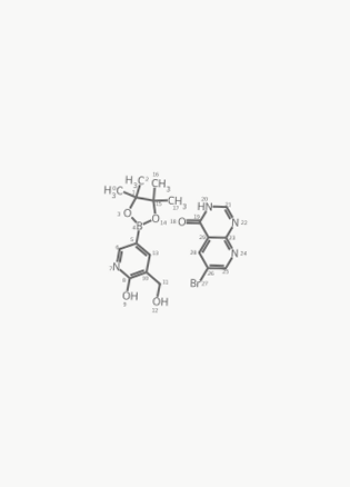 CC1(C)OB(c2cnc(O)c(CO)c2)OC1(C)C.O=c1[nH]cnc2ncc(Br)cc12